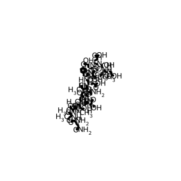 CC(C)C[C@H](NC(=O)[C@H](CO)NC(=O)[C@H](CCC(=O)O)NC(=O)[C@H](CCC(=O)O)NC(=O)[C@@H](NC(=O)[C@H](Cc1ccccc1)NC(=O)[C@H](CCC(=O)O)NC(=O)[C@@H](NC(=O)[C@H](CC(C)C)NC(=O)[C@H](CC(N)=O)NC(=O)[C@H](CO)NC(=O)CNC(=O)[C@@H](NC(=O)[C@@H](NC(=O)[C@@H](NC(=O)[C@@H](N)CCC(N)=O)C(C)C)[C@@H](C)O)[C@@H](C)O)C(C)C)[C@@H](C)O)C(=O)NCC(=O)O